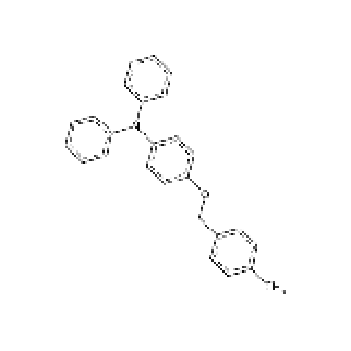 Cc1ccc(COc2ccc(N(c3ccccc3)c3ccccc3)cc2)cc1